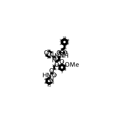 COc1ccccc1Oc1c(NS(=O)(=O)/C=C/c2ccccc2)nc(N2CCOCC2)nc1OCCOC(=O)Nc1ccccn1